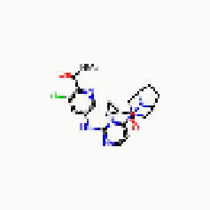 CNC(=O)c1ncc(Nc2nccc(N3CC4CCC(C3)N4C(=O)C3CC3)n2)cc1Cl